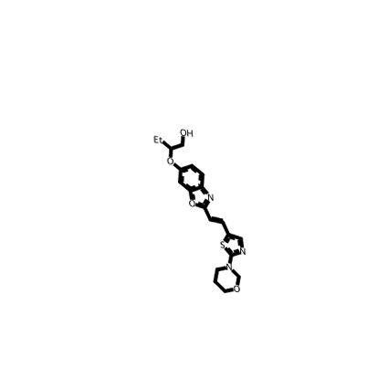 CCC(CO)Oc1ccc2nc(/C=C/c3cnc(N4CCCOC4)s3)oc2c1